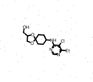 CCc1ncnc(NC2CCC3(CC2)OCC(CO)O3)c1Cl